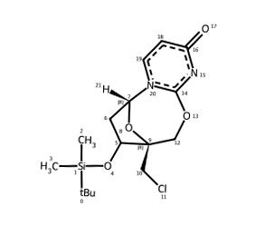 CC(C)(C)[Si](C)(C)OC1C[C@H]2O[C@]1(CCl)COc1nc(=O)ccn12